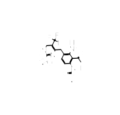 COC(=O)Nc1ccc(CC2=C(C(F)(F)F)CNC(S(C)(=O)=O)=N2)c(N)c1C(C)=O